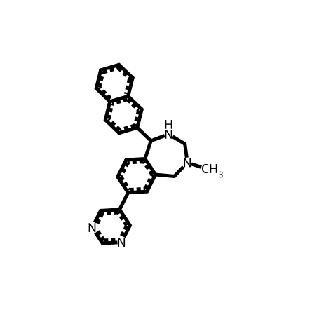 CN1CNC(c2ccc3ccccc3c2)c2ccc(-c3cncnc3)cc2C1